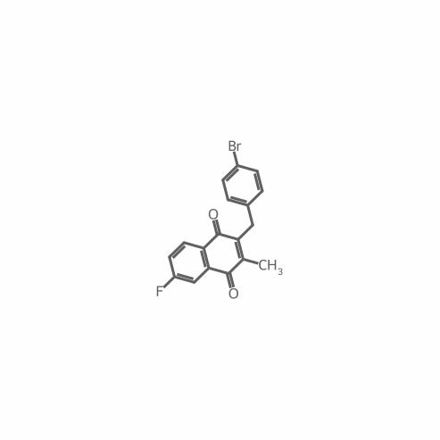 CC1=C(Cc2ccc(Br)cc2)C(=O)c2ccc(F)cc2C1=O